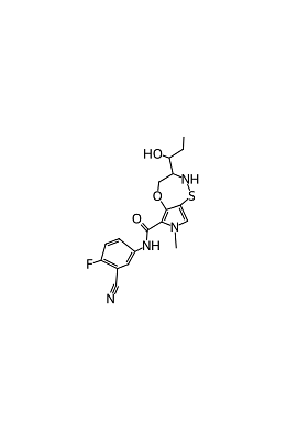 CCC(O)C1COc2c(cn(C)c2C(=O)Nc2ccc(F)c(C#N)c2)SN1